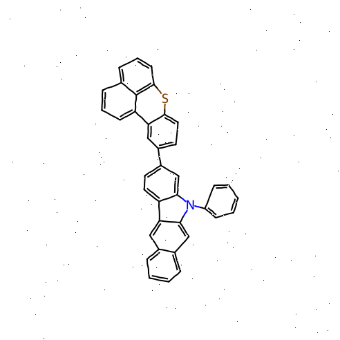 c1ccc(-n2c3cc(-c4ccc5c(c4)-c4cccc6cccc(c46)S5)ccc3c3cc4ccccc4cc32)cc1